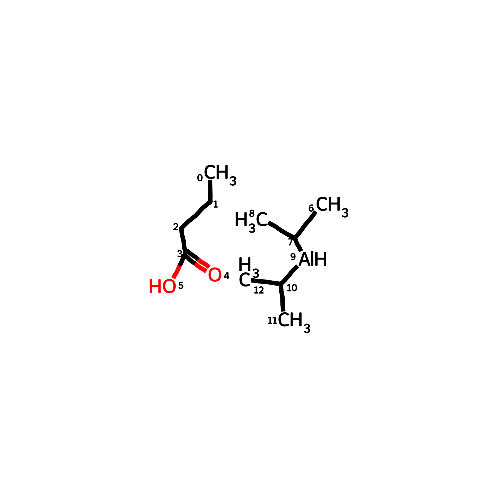 CCCC(=O)O.C[CH](C)[AlH][CH](C)C